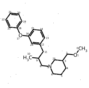 COCC1CCCN(CC(C)Cc2cccc(Oc3ccccc3)c2)C1